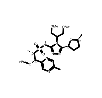 CCCO[C@@H](c1cnc(C)cn1)[C@H](C)S(=O)(=O)Nc1nnc([C@@H]2CC[C@H](C)O2)n1C(COC)COC